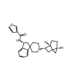 O=C(N[C@H]1CC2(CCN([C@@H]3CC45C[C@H]4CC[C@@H]35)CC2)c2ccccc21)c1ccoc1